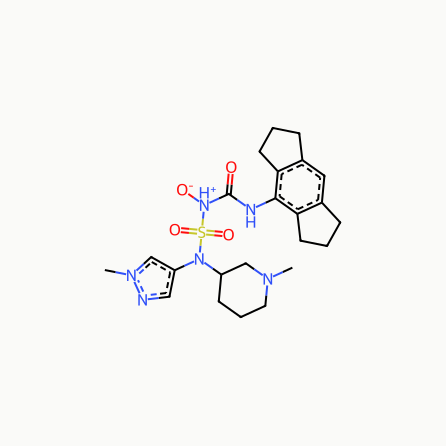 CN1CCCC(N(c2cnn(C)c2)S(=O)(=O)[NH+]([O-])C(=O)Nc2c3c(cc4c2CCC4)CCC3)C1